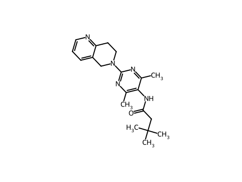 Cc1nc(N2CCc3ncccc3C2)nc(C)c1NC(=O)CC(C)(C)C